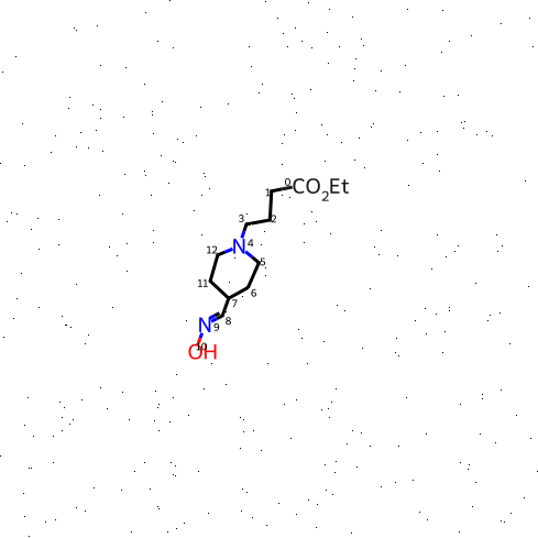 CCOC(=O)CCCN1CCC(C=NO)CC1